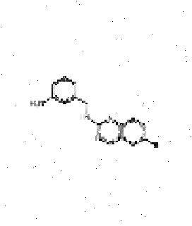 Nc1cccc(CNc2ncc3cc(Br)ccc3n2)c1